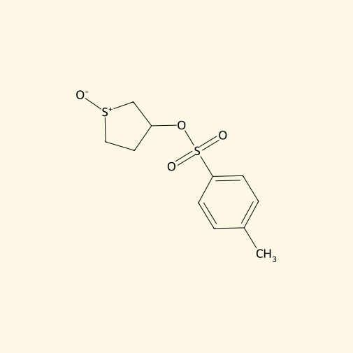 Cc1ccc(S(=O)(=O)OC2CC[S+]([O-])C2)cc1